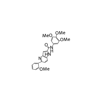 COc1ccccc1-c1ccc2[nH]c(C(=O)Nc3cc(OC)c(OC)c(OC)c3)cc2n1